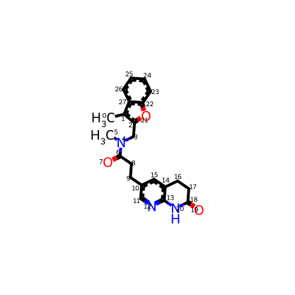 Cc1c(CN(C)C(=O)CCc2cnc3c(c2)CCC(=O)N3)oc2ccccc12